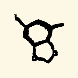 Cc1cc(I)cc2c1OCO2